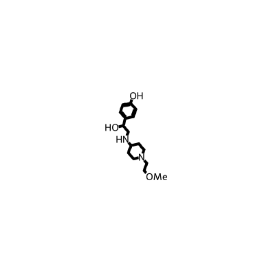 COCCN1CCC(NCC(O)c2ccc(O)cc2)CC1